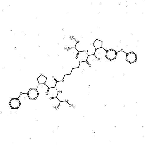 CN[C@@H](C)C(=O)N[C@@H](C(=O)OCCCCOC(=O)[C@H](NC(=O)[C@H](N)NC)C(O)N1CCC[C@H]1c1cccc(Oc2ccccc2)c1)C(=O)N1CCC[C@H]1c1cccc(Oc2ccccc2)c1